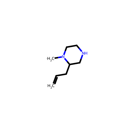 [CH2]N1CCNCC1CC=C